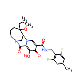 CCC1(OC)CCCN2CC1n1cc(C(=O)NCc3c(F)cc(C)cc3F)c(=O)c(O)c1C2=O